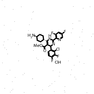 COC(=O)C1=C([C@H]2CC[C@H](N)CC2)NC(c2ncc(F)cc2F)=NC1c1ccc(F)c(F)c1Cl.Cl